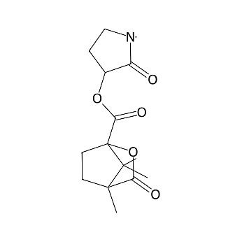 CC12CCC(C(=O)OC3CC[N]C3=O)(OC1=O)C2(C)C